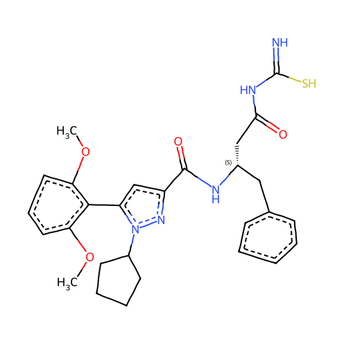 COc1cccc(OC)c1-c1cc(C(=O)N[C@H](CC(=O)NC(=N)S)Cc2ccccc2)nn1C1CCCC1